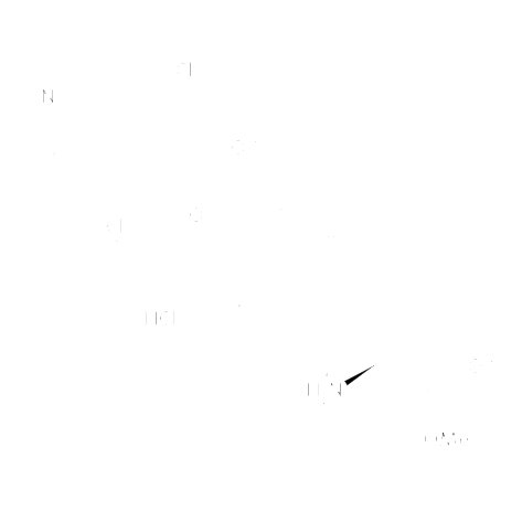 COC(=O)[C@@H](N)Cc1ccc(OC(=O)c2c(Cl)cncc2Cl)cc1.Cl